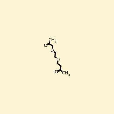 CC(=O)CCOCCOCC(C)=O